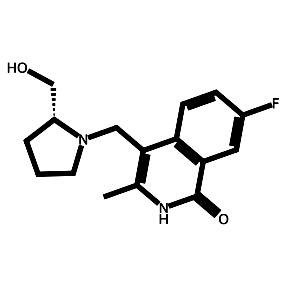 Cc1[nH]c(=O)c2cc(F)ccc2c1CN1CCC[C@@H]1CO